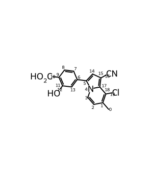 Cc1ccn2c(-c3ccc(C(=O)O)c(O)c3)cc(C#N)c2c1Cl